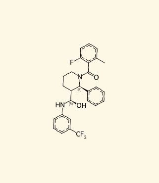 Cc1cccc(F)c1C(=O)N1CCCC([C@@H](O)Nc2cccc(C(F)(F)F)c2)[C@@H]1c1ccccc1